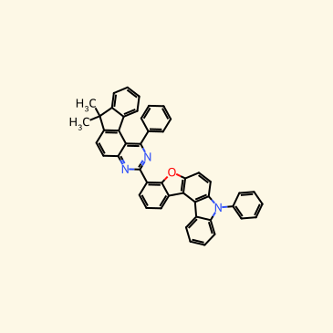 CC1(C)c2ccccc2-c2c1ccc1nc(-c3cccc4c3oc3ccc5c(c6ccccc6n5-c5ccccc5)c34)nc(-c3ccccc3)c21